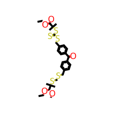 CCOC(=O)C(C)(C)SC(=S)SCc1ccc(C(=O)c2ccc(CSCSC(C)(C)C(OC)OCC)cc2)cc1